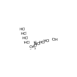 Cl.Cl.Cl.Cl.Cl.Cl.Cl.Cl.Cl.[CH2]